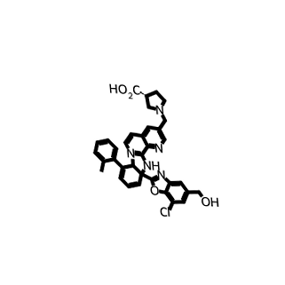 Cc1ccccc1C1=CC=CC(Nc2nccc3cc(CN4CC[C@@H](C(=O)O)C4)cnc23)(c2nc3cc(CO)cc(Cl)c3o2)C1C